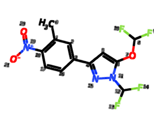 Cc1cc(-c2cc(OC(F)F)n(C(F)F)n2)ccc1[N+](=O)[O-]